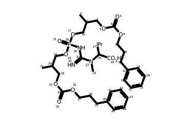 CC(COC(=O)OCCCc1ccccc1)COP(=O)(NC(=N)N(C)C(C(=O)O)C(C)C)OCC(C)COC(=O)OCCCc1ccccc1